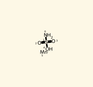 NS(=O)(=O)O.[Mn]